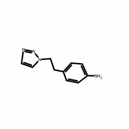 Nc1ccc(CCn2ccnn2)cc1